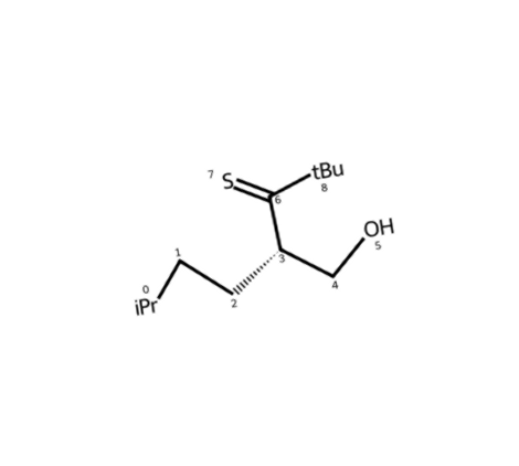 CC(C)CC[C@@H](CO)C(=S)C(C)(C)C